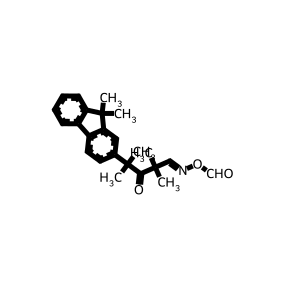 CC(C)(/C=N/OC=O)C(=O)C(C)(C)c1ccc2c(c1)C(C)(C)c1ccccc1-2